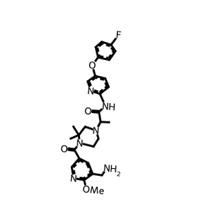 COc1ncc(C(=O)N2CCN(C(C)C(=O)Nc3ccc(Oc4ccc(F)cc4)cn3)CC2(C)C)cc1CN